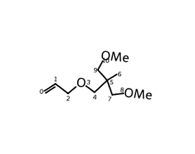 C=CCOCC(C)(COC)COC